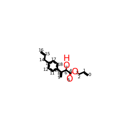 C=CCOC(=O)C(O)C(=C)c1ccc(CC=C)cc1